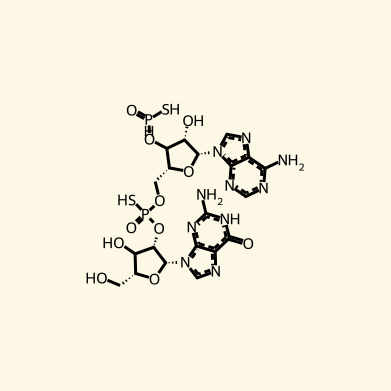 Nc1nc2c(ncn2[C@@H]2O[C@H](CO)C(O)[C@@H]2OP(=O)(S)OC[C@H]2O[C@@H](n3cnc4c(N)ncnc43)[C@@H](O)C2O[PH](=O)S)c(=O)[nH]1